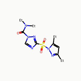 CCc1cc(CC)n(S(=O)(=O)c2ncn(C(=O)N(CC)CC)n2)n1